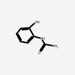 NC(=O)Nc1c[c]ccc1O